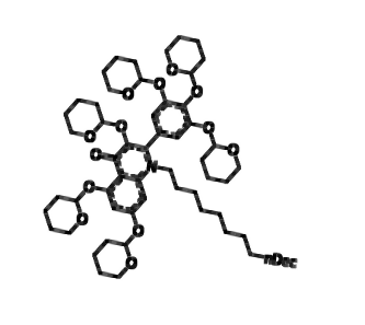 CCCCCCCCCCCCCCCCCCn1c(-c2cc(OC3CCCCO3)c(OC3CCCCO3)c(OC3CCCCO3)c2)c(OC2CCCCO2)c(=O)c2c(OC3CCCCO3)cc(OC3CCCCO3)cc21